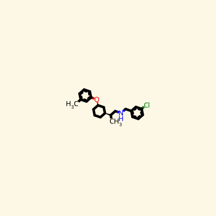 Cc1cccc(O[C@@H]2CCC[C@H](C(C)CNCc3cccc(Cl)c3)C2)c1